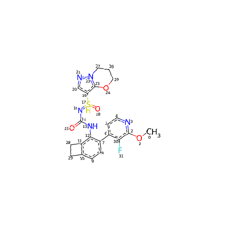 COc1nccc(-c2ccc3c(c2NC(=O)N=[SH](=O)c2cnn4c2OCCC4)CC3)c1F